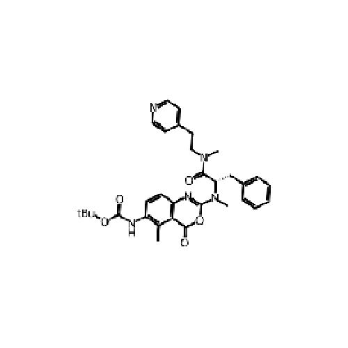 Cc1c(NC(=O)OC(C)(C)C)ccc2nc(N(C)[C@@H](Cc3ccccc3)C(=O)N(C)CCc3ccncc3)oc(=O)c12